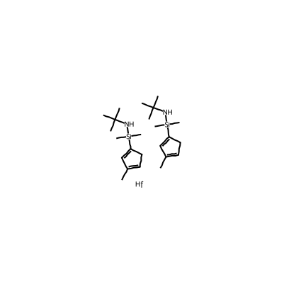 CC1=CCC([Si](C)(C)NC(C)(C)C)=C1.CC1=CCC([Si](C)(C)NC(C)(C)C)=C1.[Hf]